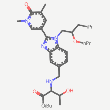 CCCOC(CC(C)C)Cn1c(-c2cc(C)c(=O)n(C)c2)nc2cc(CNC(C(=O)OCC(C)C)C(C)O)ccc21